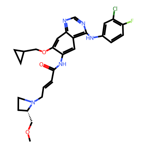 COC[C@@H]1CCN1CC=CC(=O)Nc1cc2c(Nc3ccc(F)c(Cl)c3)ncnc2cc1OCC1CC1